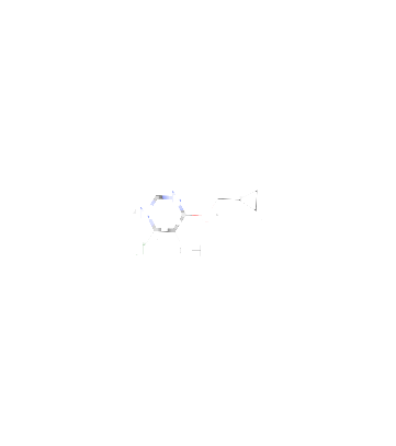 Cc1c(Cl)ncnc1OCC1CC1